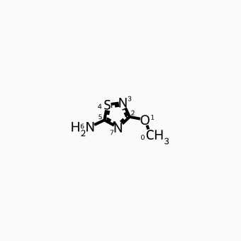 COc1nsc(N)n1